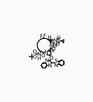 CC(C)(C)OC(=O)N[C@H]1CCCCCC(F)(F)C[C@@H]2C[C@@]2(C(=O)NS(=O)(=O)C2CC2)NC(=O)[C@@H]2C[C@@H](Oc3nc4ccccc4nc3-c3nc4ccccc4s3)CN2C1=O